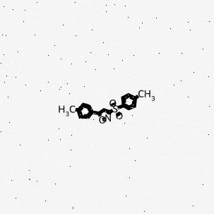 Cc1ccc(C2CC(S(=O)(=O)c3ccc(C)cc3)=NO2)cc1